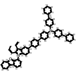 C=Cc1c(/C=C\C)n(-c2cccc3c2oc2ccccc23)c2ccc(-c3ccc(-c4ccc(N(c5ccc(-c6ccccc6)cc5)c5ccc(-c6ccccc6)cc5)cc4)cc3)cc12